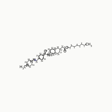 CCCCCCCCOC(=O)CC1CCc2cc(NC(=O)c3ccc(/C=N/N4CCN(C)CC4)cc3)ccc2C1